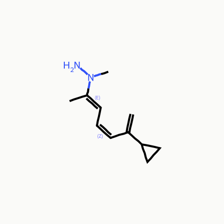 C=C(/C=C\C=C(/C)N(C)N)C1CC1